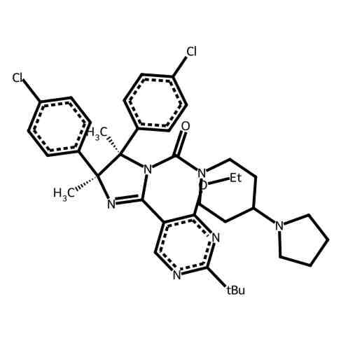 CCOc1nc(C(C)(C)C)ncc1C1=N[C@@](C)(c2ccc(Cl)cc2)[C@@](C)(c2ccc(Cl)cc2)N1C(=O)N1CCC(N2CCCC2)CC1